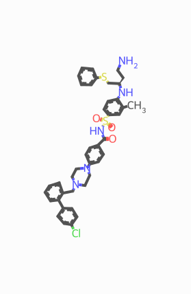 Cc1cc(S(=O)(=O)NC(=O)c2ccc(N3CCN(Cc4ccccc4-c4ccc(Cl)cc4)CC3)cc2)ccc1N[C@H](CCN)CSc1ccccc1